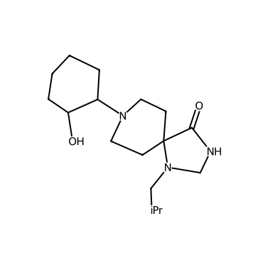 CC(C)CN1CNC(=O)C12CCN(C1CCCCC1O)CC2